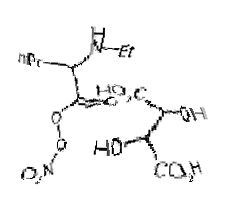 CCCC(NCC)C(=O)OO[N+](=O)[O-].O=C(O)C(O)C(O)C(=O)O